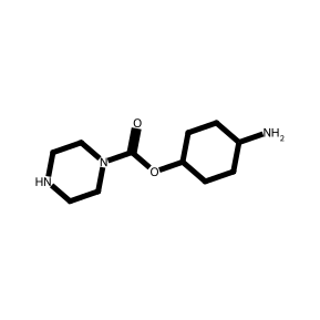 NC1CCC(OC(=O)N2CCNCC2)CC1